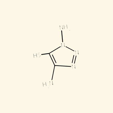 Nc1nnn(N)c1S